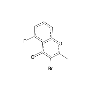 Cc1oc2cccc(F)c2c(=O)c1Br